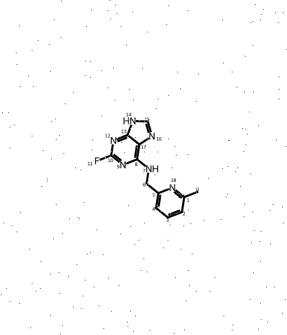 Cc1cccc(CNc2nc(F)nc3[nH]cnc23)n1